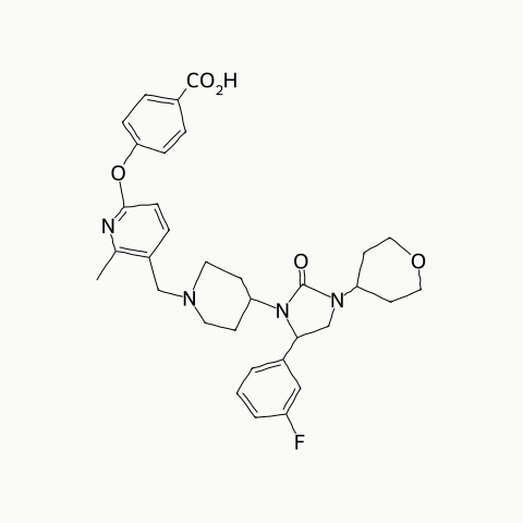 Cc1nc(Oc2ccc(C(=O)O)cc2)ccc1CN1CCC(N2C(=O)N(C3CCOCC3)CC2c2cccc(F)c2)CC1